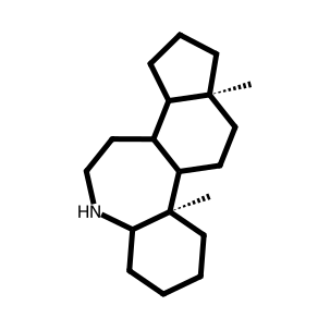 C[C@@]12CCCC1C1CCNC3CCCC[C@]3(C)C1CC2